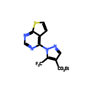 CCOC(=O)c1cnn(-c2ncnc3sccc23)c1C(F)(F)F